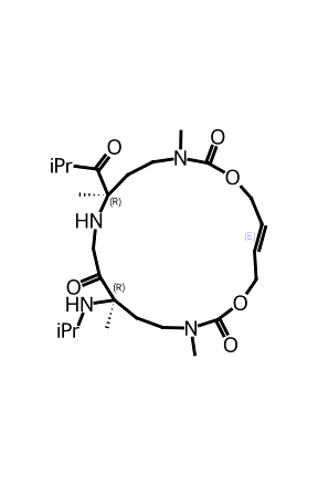 CC(C)N[C@]1(C)CCN(C)C(=O)OC/C=C/COC(=O)N(C)CC[C@](C)(C(=O)C(C)C)NCC1=O